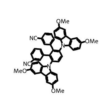 COc1ccc2c(c1)c1cc(OC)ccc1n2-c1ccc(-n2c3ccc(OC)cc3c3cc(OC)ccc32)c(-c2cccc(C#N)c2)c1-c1cccc(C#N)c1